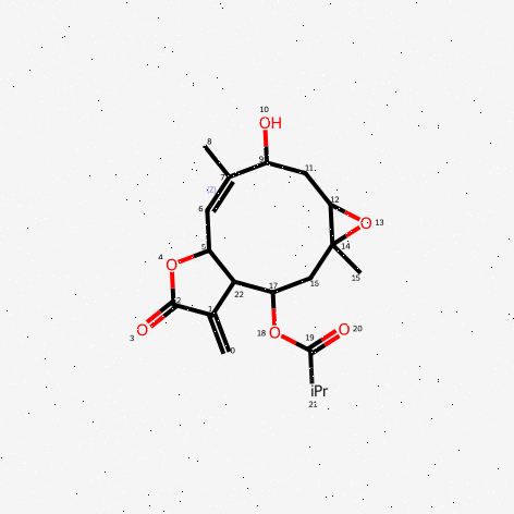 C=C1C(=O)OC2/C=C(/C)C(O)CC3OC3(C)CC(OC(=O)C(C)C)C12